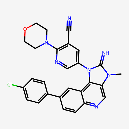 Cn1c(=N)n(-c2cnc(N3CCOCC3)c(C#N)c2)c2c3cc(-c4ccc(Cl)cc4)ccc3ncc21